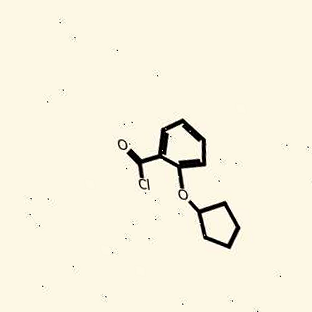 O=C(Cl)c1ccccc1OC1CCCC1